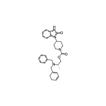 C[C@@H](COC(=O)N1CCC(n2c(=O)[nH]c3ccccc32)CC1)N(CC1=CC=CCC1)Cc1ccccc1